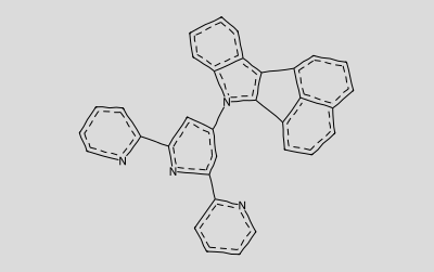 c1ccc(-c2cc(-n3c4c(c5ccccc53)-c3cccc5cccc-4c35)cc(-c3ccccn3)n2)nc1